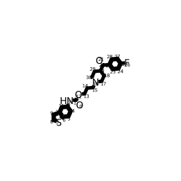 O=C(Nc1ccc2sccc2c1)OCCCN1CCC(C(=O)c2ccc(F)cc2)CC1